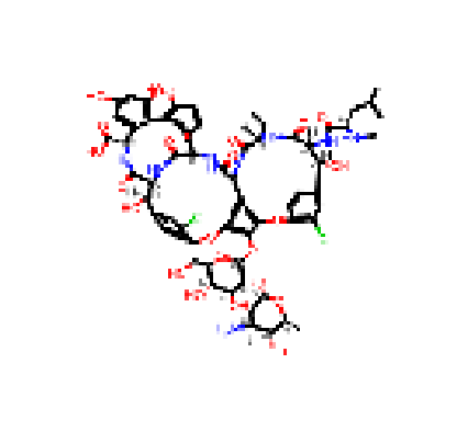 CC[C@@H]1NC(=O)[C@H](NC(=O)[C@@H](CC(C)C)NC)[C@H](O)c2ccc(c(Cl)c2)Oc2cc3cc(c2O[C@@H]2OC(CO)[C@@H](O)[C@H](O)[C@H]2O[C@H]2C[C@](C)(N)[C@H](O)[C@H](C)O2)Oc2ccc(cc2Cl)[C@@H](O)[C@@H]2NC(=O)[C@H](NC(=O)C3NC1=O)c1ccc(O)c(c1)-c1c(O)cc(O)cc1[C@@H](C(=O)O)NC2=O